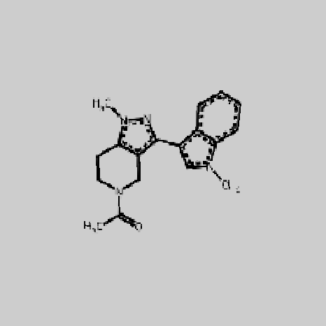 CC(=O)N1CCc2c(c(-c3cn(C)c4ccccc34)nn2C)C1